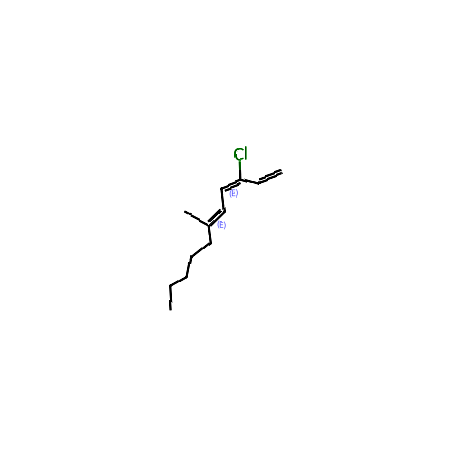 C=C/C(Cl)=C\C=C(/C)CCCCC